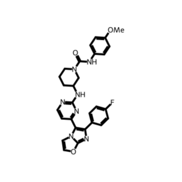 COc1ccc(NC(=O)N2CCCC(Nc3nccc(-c4c(-c5ccc(F)cc5)nc5occn45)n3)C2)cc1